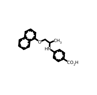 CC(COc1cccc2ccccc12)Nc1ccc(C(=O)O)cc1